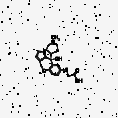 CN1CCC(C2(O)c3cc(SCC(=O)O)ccc3OCc3ccsc32)CC1